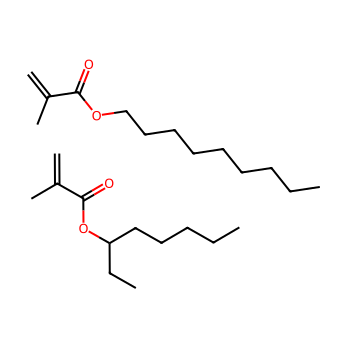 C=C(C)C(=O)OC(CC)CCCCC.C=C(C)C(=O)OCCCCCCCCC